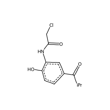 CC(C)C(=O)c1ccc(O)c(NC(=O)CCl)c1